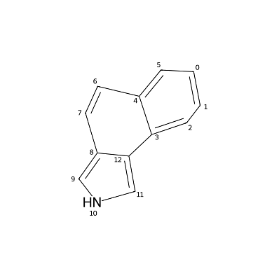 c1ccc2c(c1)ccc1c[nH]cc12